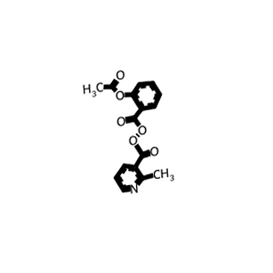 CC(=O)Oc1ccccc1C(=O)OOC(=O)c1cccnc1C